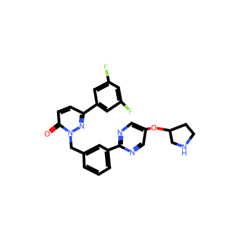 O=c1ccc(-c2cc(F)cc(F)c2)nn1Cc1cccc(-c2ncc(OC3CCNC3)cn2)c1